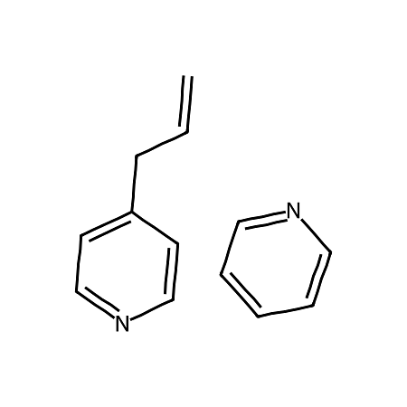 C=CCc1ccncc1.c1ccncc1